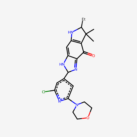 CCC1NC2=C(C(=O)C3=NC(c4cc(Cl)nc(N5CCOCC5)c4)NC3=C2)C1(C)C